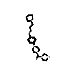 O=C(N1CCOCC1)N1CCN(c2ccc(OCCCN3CCCCC3)cc2)CC1